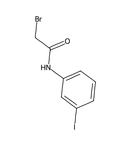 O=C(CBr)Nc1cccc(I)c1